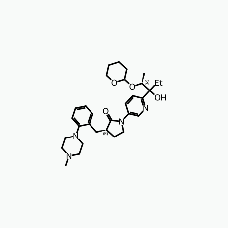 CCC(O)(c1ccc(N2CC[C@@H](Cc3ccccc3N3CCN(C)CC3)C2=O)cn1)[C@H](C)OC1CCCCO1